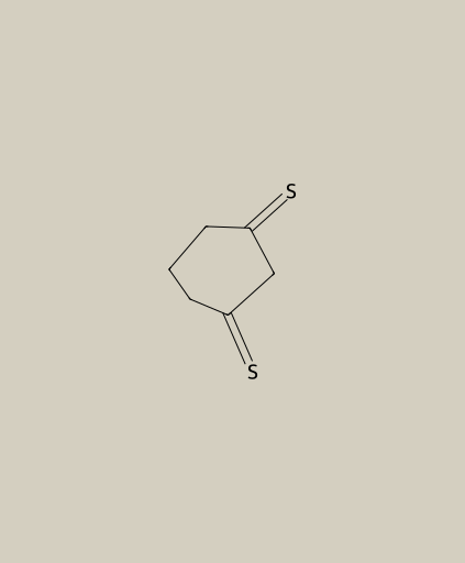 S=C1CCCC(=S)C1